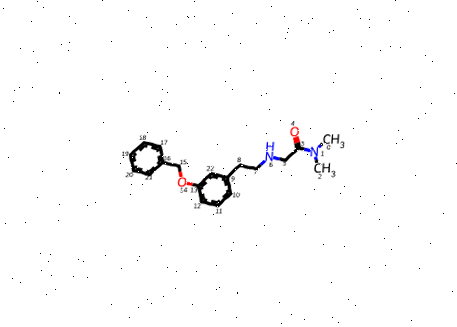 CN(C)C(=O)CNCCc1cccc(OCc2ccccc2)c1